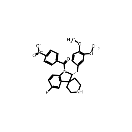 COc1ccc(C[C@H]2N(C(=O)c3ccc([N+](=O)[O-])cc3)c3ccc(F)cc3C23CCNCC3)cc1OC